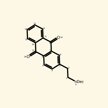 CCCCCCCCCCCCc1ccc2c(c1)C(=O)c1ccccc1C2=O